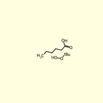 CC(C)(C)OO.CCCCCC(=O)O